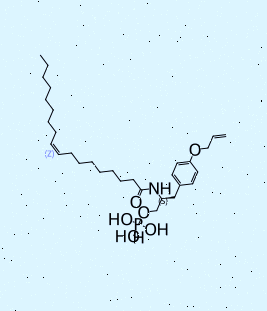 C=CCOc1ccc(C[C@@H](CO[PH](O)(O)O)NC(=O)CCCCCCC/C=C\CCCCCCCC)cc1